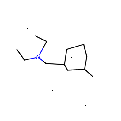 CCN(CC)CC1CCCC(C)C1